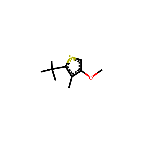 COc1csc(C(C)(C)C)c1C